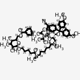 COc1ccc(C(OC[C@H](CN(C)CCCCCCN(C)C(=O)CCCCOC2OC(COC(=O)c3ccccc3)C(C)C(C)C2C)OP(OCCC#N)N(C(C)C)C(C)C)(c2ccccc2)c2ccc(OC)cc2)cc1